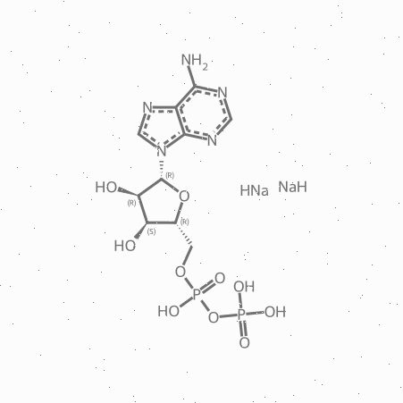 Nc1ncnc2c1ncn2[C@@H]1O[C@H](COP(=O)(O)OP(=O)(O)O)[C@@H](O)[C@H]1O.[NaH].[NaH]